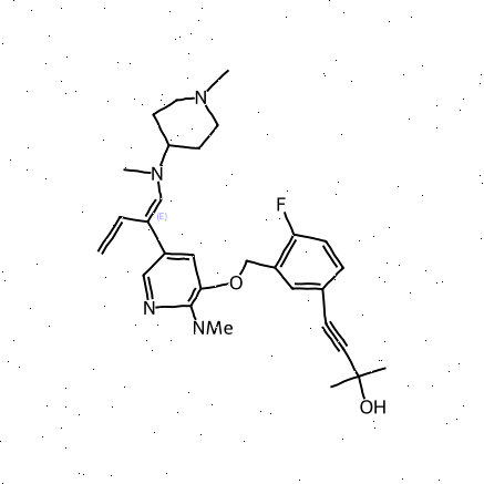 C=C/C(=C\N(C)C1CCN(C)CC1)c1cnc(NC)c(OCc2cc(C#CC(C)(C)O)ccc2F)c1